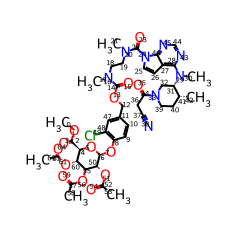 COC(=O)[C@H]1O[C@@H](Oc2ccc(COC(=O)N(C)CCN(C)C(=O)n3ccc4c(N(C)[C@H]5CN(C(=O)CC#N)CC[C@H]5C)ncnc43)cc2Cl)[C@H](OC(C)=O)[C@@H](OC(C)=O)[C@@H]1OC(C)=O